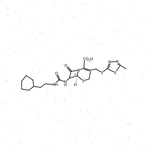 Cc1nnc(SCC2=C(C(=O)O)N3C(=O)C(NC(=O)NCCC4CCCCC4)[C@@H]3SC2)s1